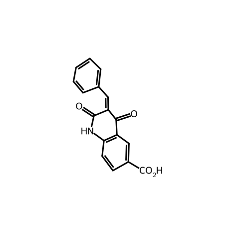 O=C1Nc2ccc(C(=O)O)cc2C(=O)/C1=C/c1ccccc1